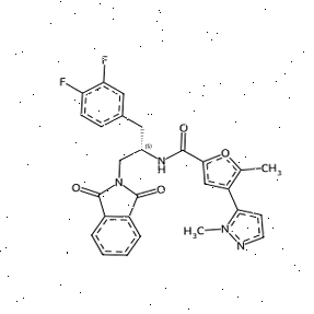 Cc1oc(C(=O)N[C@@H](Cc2ccc(F)c(F)c2)CN2C(=O)c3ccccc3C2=O)cc1-c1ccnn1C